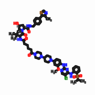 COc1cc(N2CCC(N3CCN(C(=O)CCCCC(=O)NC(C(=O)N4C[C@H](O)C[C@H]4C(=O)NCc4ccc(-c5scnc5C)cc4)C(C)(C)C)CC3)CC2)ccc1Nc1ncc(Cl)c(Nc2ccccc2S(=O)(=O)C(C)C)n1